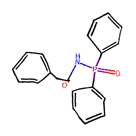 O=C(NP(=O)(c1ccccc1)c1ccccc1)c1ccccc1